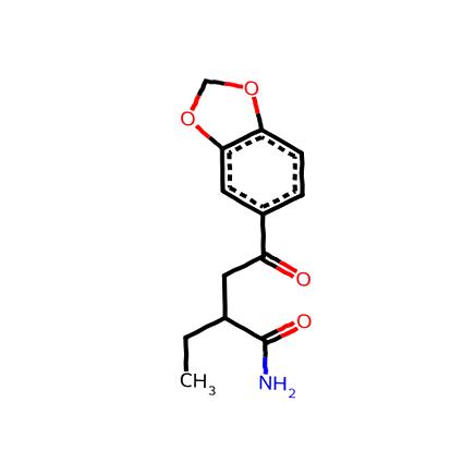 CCC(CC(=O)c1ccc2c(c1)OCO2)C(N)=O